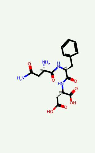 NC(=O)C[C@H](N)C(=O)N[C@@H](Cc1ccccc1)C(=O)N[C@@H](CC(=O)O)C(=O)O